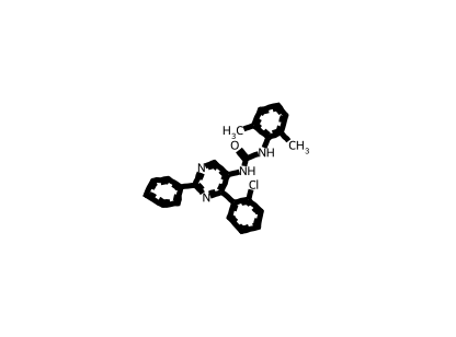 Cc1cccc(C)c1NC(=O)Nc1cnc(-c2ccccc2)nc1-c1ccccc1Cl